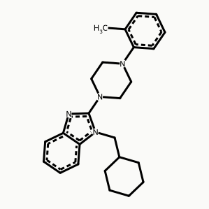 Cc1ccccc1N1CCN(c2nc3ccccc3n2CC2CCCCC2)CC1